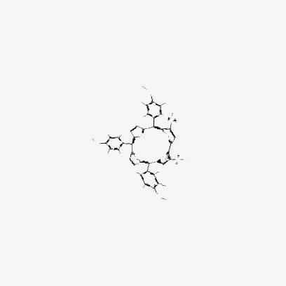 COc1c(F)c(F)c(C2=C3C=CC(=N3)C(c3c(F)c(F)c(OC)c(F)c3F)=C3N=C(C=C3S(=O)(=O)O)c3[nH]c(cc3S(=O)(=O)O)C(c3c(F)c(F)c(OC)c(F)c3F)=C3C=CC2=N3)c(F)c1F